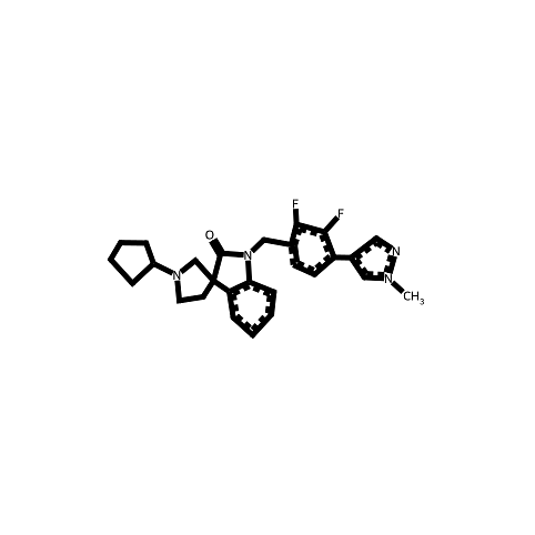 Cn1cc(-c2ccc(CN3C(=O)C4(CCN(C5CCCC5)C4)c4ccccc43)c(F)c2F)cn1